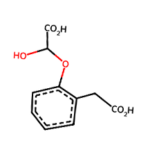 O=C(O)Cc1ccccc1OC(O)C(=O)O